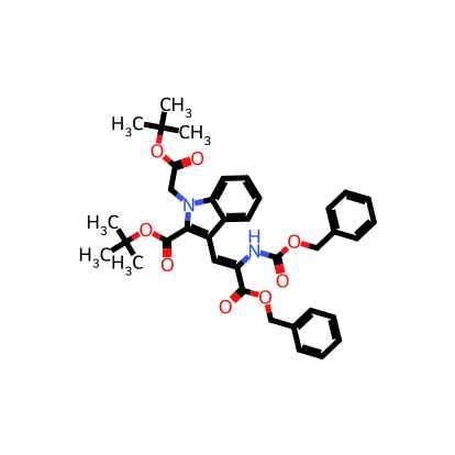 CC(C)(C)OC(=O)Cn1c(C(=O)OC(C)(C)C)c(C=C(NC(=O)OCc2ccccc2)C(=O)OCc2ccccc2)c2ccccc21